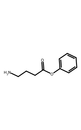 NCCCC(=O)Oc1ccccc1